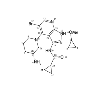 COC1CC1.N[C@@H]1CCCN(c2c(Br)cnc3[nH]cc(NC(=O)C4CC4)c23)C1